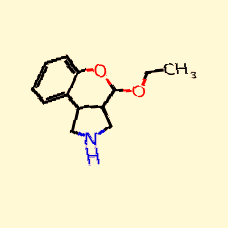 CCOC1Oc2ccccc2C2CNCC12